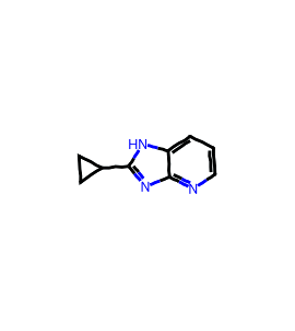 c1cnc2nc(C3CC3)[nH]c2c1